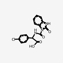 O=C(O)C(NC(=O)n1c(=O)[nH]c2ccccc21)c1ccc(Cl)cc1